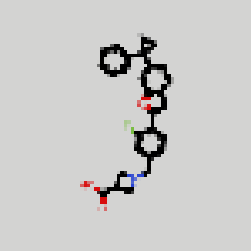 O=C(O)C1CN(Cc2ccc(-c3cc4ccc(C5(c6ccccc6)CC5)cc4o3)c(F)c2)C1